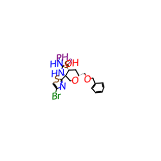 OC[C@@H]1C[C@H](COCc2ccccc2)OC[C@@]1(NC(=S)NP)c1nc(Br)cs1